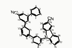 N#Cc1cc(-c2ccccc2)cc(-c2cccc(-c3cc(C#N)cc(-n4c5ccccc5c5cc(C#N)ccc54)c3)c2)c1